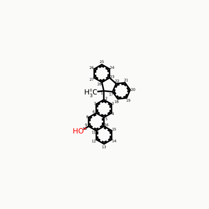 CC1(c2ccc3c(c2)cc(O)c2ccccc23)c2ccccc2-c2ccccc21